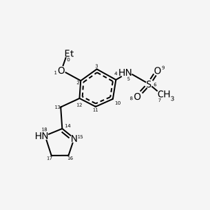 CCOc1cc(NS(C)(=O)=O)ccc1CC1=NCCN1